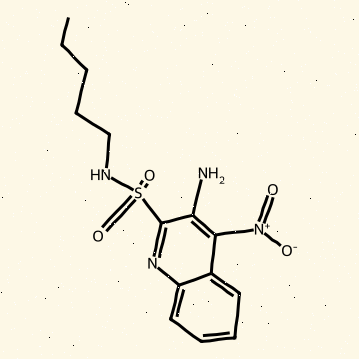 CCCCCNS(=O)(=O)c1nc2ccccc2c([N+](=O)[O-])c1N